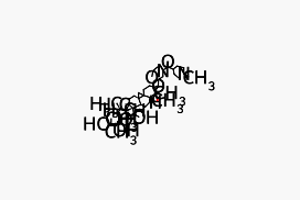 C[C@@H]1C[C@H]([C@H](O)C(C)(C)O)O[C@H]2C1[C@@]1(C)CC[C@@]34CC35CCC(OC3CN(C(=O)C6CCN(C)CC6)CCO3)C(C)(C)[C@@H]5CC[C@H]4[C@]1(C)[C@H]2O